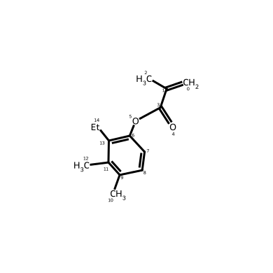 C=C(C)C(=O)Oc1ccc(C)c(C)c1CC